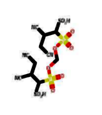 N#CCC(C#N)C(S(=O)(=O)O)S(=O)(=O)OCOS(=O)(=O)C(C(C#N)CC#N)S(=O)(=O)O